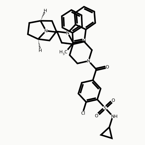 Cc1nc2ccccc2n1C1C[C@H]2CC[C@@H](C1)N2CCC1(c2ccccc2)CCN(C(=O)c2ccc(Cl)c(S(=O)(=O)NC3CC3)c2)CC1